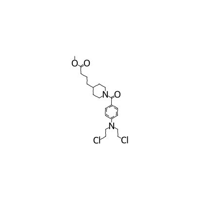 COC(=O)CCCC1CCN(C(=O)c2ccc(N(CCCl)CCCl)cc2)CC1